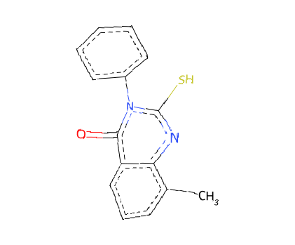 Cc1cccc2c(=O)n(-c3ccccc3)c(S)nc12